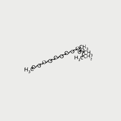 COCCOCCOCCOCCOCCOCCOCCOCCOC(C)C(=O)OC(C)CC(C)C